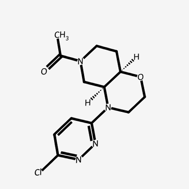 CC(=O)N1CC[C@H]2OCCN(c3ccc(Cl)nn3)[C@H]2C1